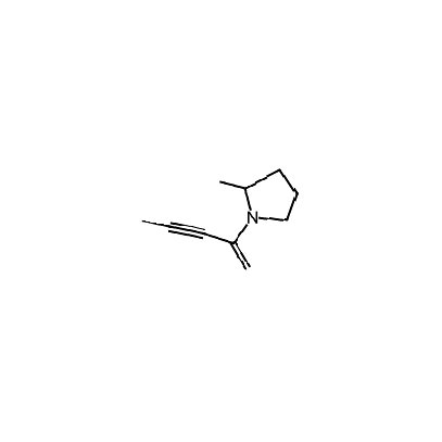 C=C(C#CC)N1CCCC1C